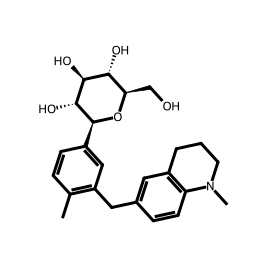 Cc1ccc([C@@H]2O[C@H](CO)[C@@H](O)[C@H](O)[C@H]2O)cc1Cc1ccc2c(c1)CCCN2C